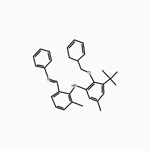 Cc1cc(Pc2c(C)cccc2/C=N/c2ccccc2)c(OCC2C=CC=CC2)c(C(C)(C)C)c1